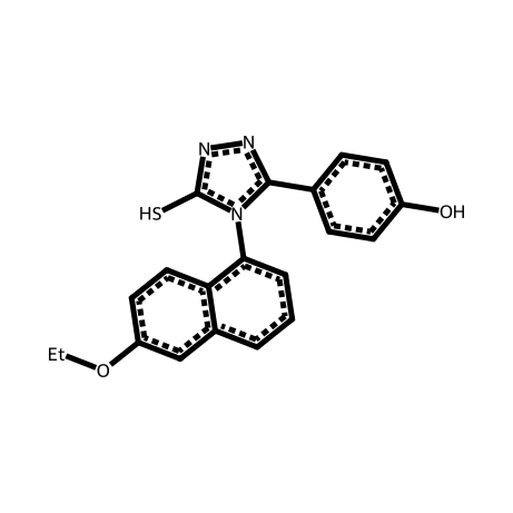 CCOc1ccc2c(-n3c(S)nnc3-c3ccc(O)cc3)cccc2c1